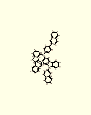 c1ccc2cc(-c3ccc(N(c4ccc5c(c4)c4ccccc4n5-c4ccc5ccccc5c4)c4cccc5sc6c7ccccc7ccc6c45)cc3)ccc2c1